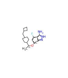 C[C@H](Oc1cc(F)c2c(N)[nH]nc2c1)C1CCC(CC2CCC2)CC1